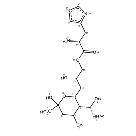 CC(=O)N[C@@H](O)C1C(O)CC(O)(C(=O)O)OC1C[C@H](O)COC(=O)[C@H](N)Cc1c[nH]cn1